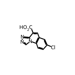 O=C(O)c1cc2cc(Cl)ccc2n2cnnc12